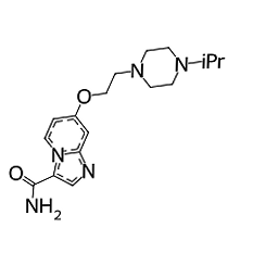 CC(C)N1CCN(CCOc2ccn3c(C(N)=O)cnc3c2)CC1